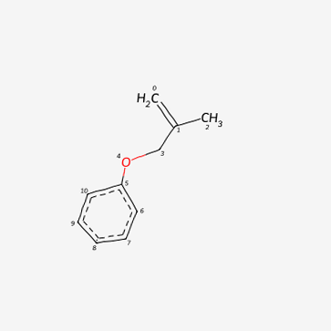 C=C(C)COc1cc[c]cc1